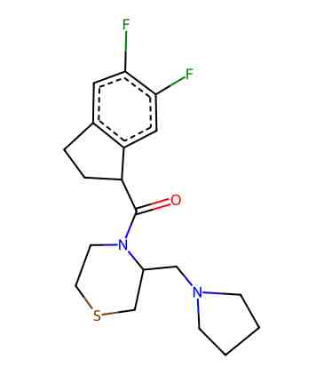 O=C(C1CCc2cc(F)c(F)cc21)N1CCSCC1CN1CCCC1